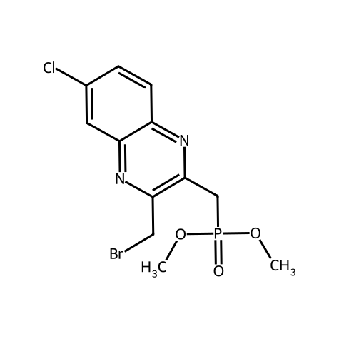 COP(=O)(Cc1nc2ccc(Cl)cc2nc1CBr)OC